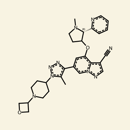 Cc1c(-c2cc(OC3CCN(C)[C@@H]3c3ccccn3)c3c(C#N)cnn3c2)nnn1C1CCN(C2COC2)CC1